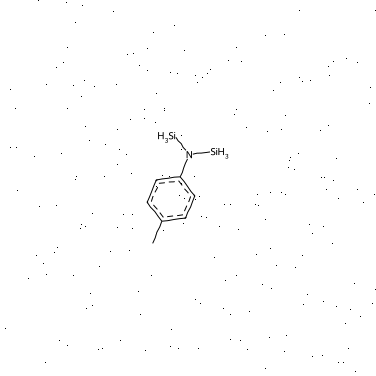 Cc1ccc(N([SiH3])[SiH3])cc1